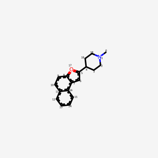 CN1CCC(c2cc3c(ccc4ccccc43)o2)CC1